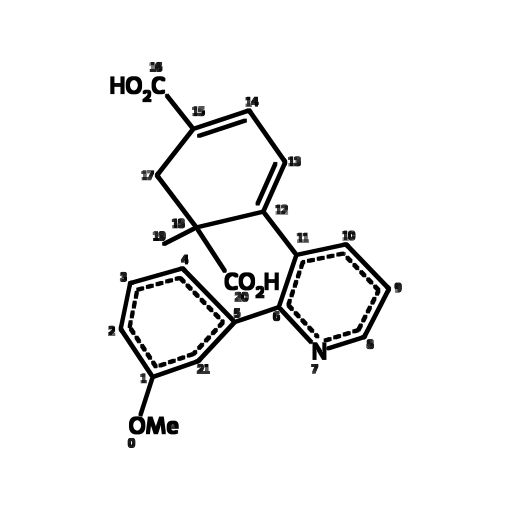 COc1cccc(-c2ncccc2C2=CC=C(C(=O)O)CC2(C)C(=O)O)c1